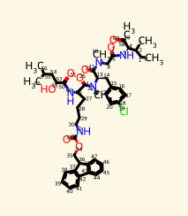 CCC(C)[C@H](NC(=O)CN(C)C(=O)[C@@H](Cc1ccc(Cl)cc1)N(C)C(=O)C(CCCCNC(=O)OCC1c2ccccc2-c2ccccc21)NC(=O)[C@H](O)CC(C)C)C(C)=O